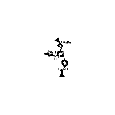 CCCCOC1(C2CC2)CN(c2cc(Nc3cc(C)n[nH]3)nc(Sc3ccc(NC(=O)C4CC4)cc3)n2)C1